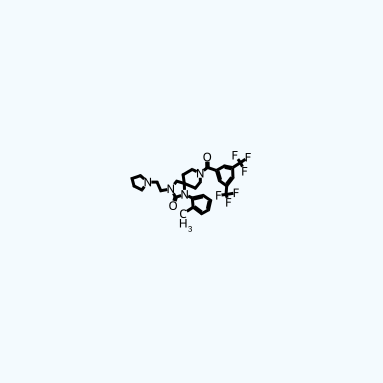 Cc1ccccc1N1C(=O)N(CCN2CCCC2)CC12CCN(C(=O)c1cc(C(F)(F)F)cc(C(F)(F)F)c1)CC2